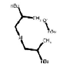 CCCCC(C)[CH2][Al+][CH2]C(C)CCCC.CCCC[O-]